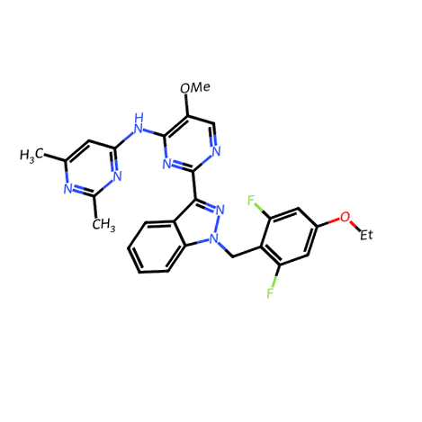 CCOc1cc(F)c(Cn2nc(-c3ncc(OC)c(Nc4cc(C)nc(C)n4)n3)c3ccccc32)c(F)c1